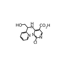 O=C(O)c1cnc(Cl)nc1NC(CO)c1ccccn1